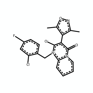 Cc1noc(C)c1-c1c([O-])[n+](Cc2ccc(F)cc2Cl)c2ccccn2c1=O